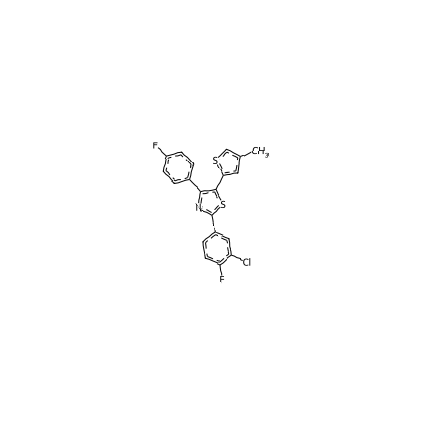 Cc1csc(-c2sc(-c3ccc(F)c(Cl)c3)nc2-c2ccc(F)cc2)c1